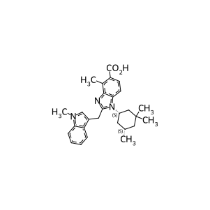 Cc1c(C(=O)O)ccc2c1nc(Cc1cn(C)c3ccccc13)n2[C@H]1C[C@@H](C)CC(C)(C)C1